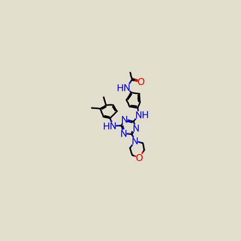 CC(=O)Nc1ccc(Nc2nc(Nc3ccc(C)c(C)c3)nc(N3CCOCC3)n2)cc1